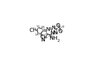 CS(=O)(=O)c1nc2nc(-c3ccc(Cl)cc3Cl)c(C#N)c(N)n2n1